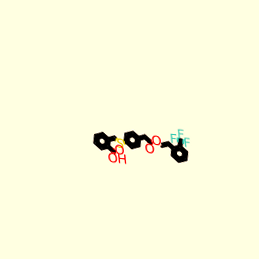 O=C(Cc1ccc(SCc2ccccc2C(=O)O)cc1)OCCc1ccccc1C(F)(F)F